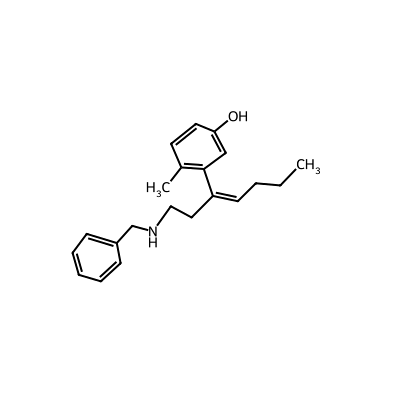 CCC/C=C(/CCNCc1ccccc1)c1cc(O)ccc1C